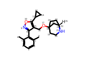 Cc1cccc(C)c1-c1noc(C2CC2)c1COC12CCN[C@@H](CC1)C2